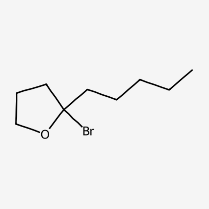 CCCCCC1(Br)CCCO1